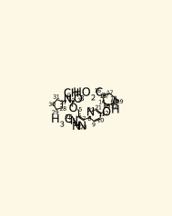 CN(C(=O)OCc1c(-c2ccc(O[C@@H]3C[C@H](C(=O)O)CC4=C[C@@H]43)cn2)nnn1C)C1CCCC1